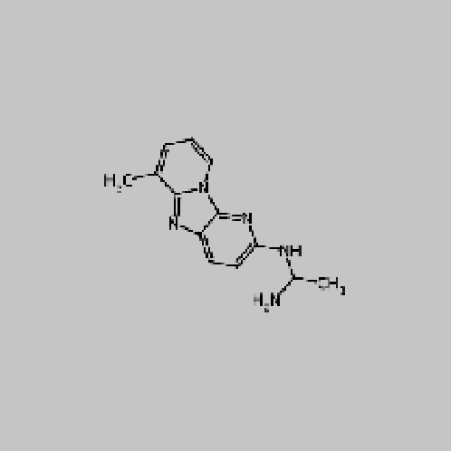 Cc1cccn2c1nc1ccc(NC(C)N)nc12